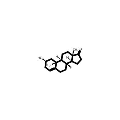 C[C@]12C[C@H](O)CC=C1CC[C@@H]1[C@@H]2CC[C@]2(C)C(=O)CC[C@@H]12